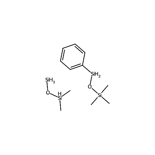 C[SiH](C)O[SiH3].C[Si](C)(C)O[SiH2]c1ccccc1